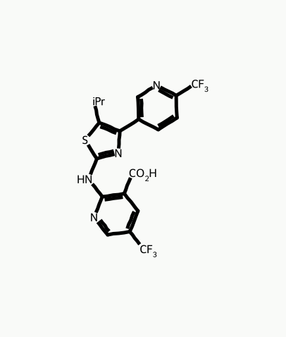 CC(C)c1sc(Nc2ncc(C(F)(F)F)cc2C(=O)O)nc1-c1ccc(C(F)(F)F)nc1